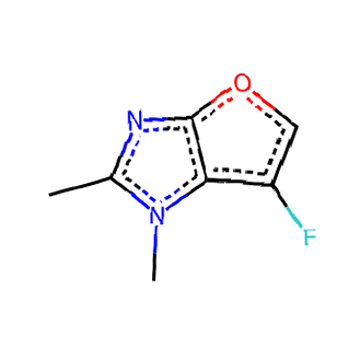 Cc1nc2occ(F)c2n1C